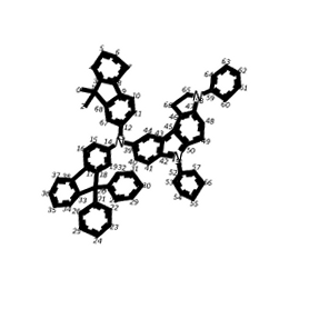 CC1(C)c2ccccc2-c2ccc(N(c3ccc4c(c3)C(c3ccccc3)(c3ccccc3)c3ccccc3-4)c3ccc4c(c3)c3c5c(ccc3n4-c3ccccc3)N(c3ccccc3)CC5)cc21